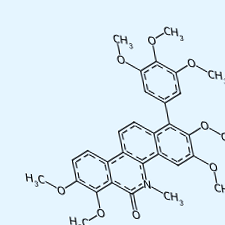 COc1cc(-c2c(OC)c(OC)cc3c2ccc2c4ccc(OC)c(OC)c4c(=O)n(C)c32)cc(OC)c1OC